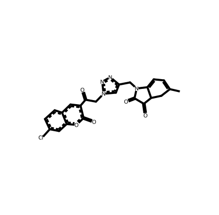 CC1=CC=C2C(C1)C(=O)C(=O)N2Cc1cn(CC(=O)c2cc3ccc(Cl)cc3oc2=O)nn1